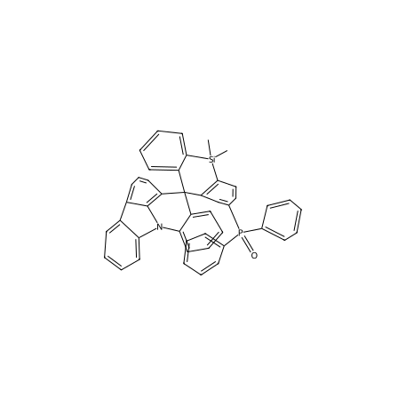 C[Si]1(C)c2ccccc2C2(c3ccccc3-n3c4ccccc4c4cccc2c43)c2cc(P(=O)(c3ccccc3)c3ccccc3)ccc21